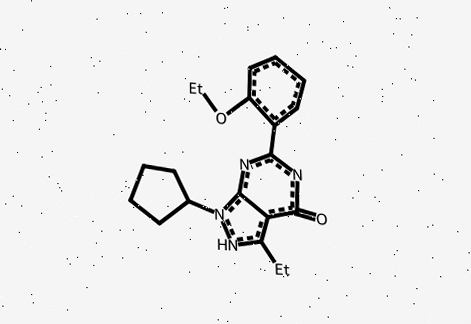 CCOc1ccccc1-c1nc2n(C3CCCC3)[nH]c(CC)c-2c(=O)n1